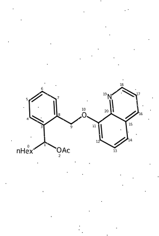 CCCCCCC(OC(C)=O)c1ccccc1COc1cccc2cccnc12